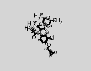 C#CC(=O)N(c1ccc(OCC2CC2)c(Cl)c1)C(C(=O)N1C[C@@H](C)O[C@@H](C)C1)C(C)(C)C